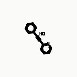 C(#Cc1ccccn1)c1ccccc1.Cl